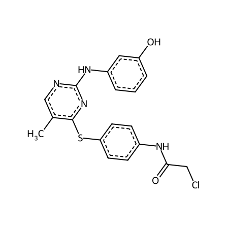 Cc1cnc(Nc2cccc(O)c2)nc1Sc1ccc(NC(=O)CCl)cc1